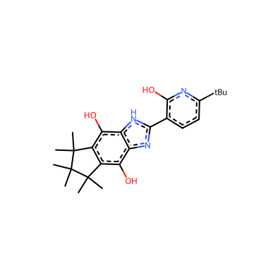 CC(C)(C)c1ccc(-c2nc3c(O)c4c(c(O)c3[nH]2)C(C)(C)C(C)(C)C4(C)C)c(O)n1